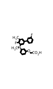 Cc1cc(-c2cccc(F)c2)cc(N(C)c2cccc(OCC(=O)O)c2)c1F